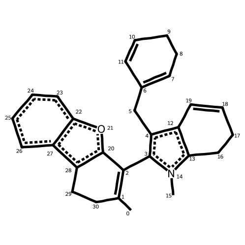 CC1=C(c2c(CC3=CCCC=C3)c3c(n2C)CCC=C3)c2oc3ccccc3c2CC1